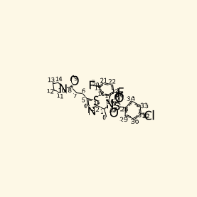 CC(c1ncc(CCC(=O)N2CCCC2)s1)N(c1cc(F)ccc1F)S(=O)(=O)c1ccc(Cl)cc1